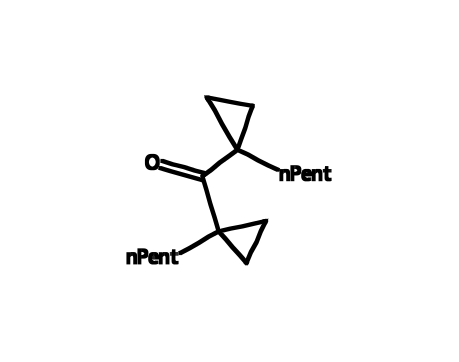 CCCCCC1(C(=O)C2(CCCCC)CC2)CC1